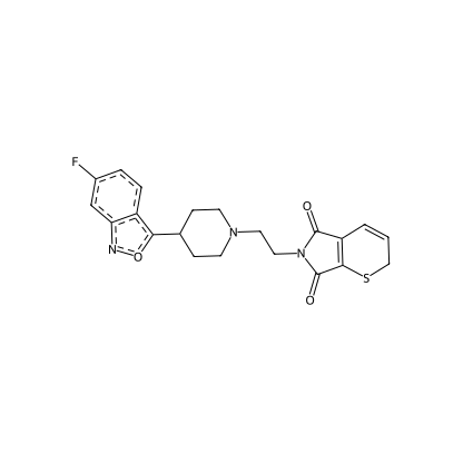 O=C1C2=C(SCC=C2)C(=O)N1CCN1CCC(c2onc3cc(F)ccc23)CC1